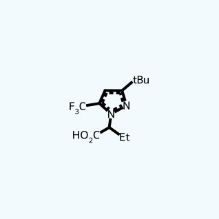 CCC(C(=O)O)n1nc(C(C)(C)C)cc1C(F)(F)F